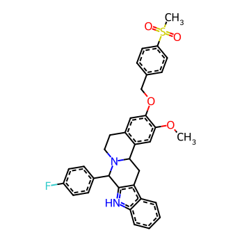 COc1cc2c(cc1OCc1ccc(S(C)(=O)=O)cc1)CCN1C2Cc2c([nH]c3ccccc23)C1c1ccc(F)cc1